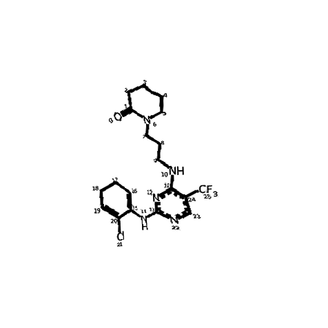 O=C1CCCCN1CCCNc1nc(NC2=CCCC=C2Cl)ncc1C(F)(F)F